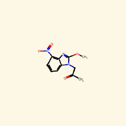 COc1nc2c([N+](=O)[O-])cccc2n1CC(C)=O